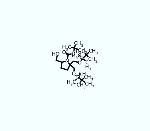 CC(C)(C)OC(=O)N1C(CO)CCC1(CO[Si](C)(C)C(C)(C)C)CO[Si](C)(C)C(C)(C)C